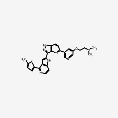 Cc1ccc(-c2nccc3[nH]c(-c4n[nH]c5ccc(-c6cncc(OCCN(C)C)c6)nc45)cc23)s1